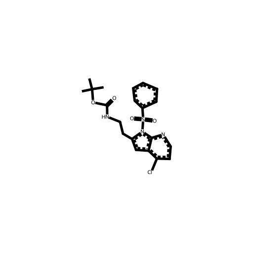 CC(C)(C)OC(=O)NCCc1cc2c(Cl)ccnc2n1S(=O)(=O)c1ccccc1